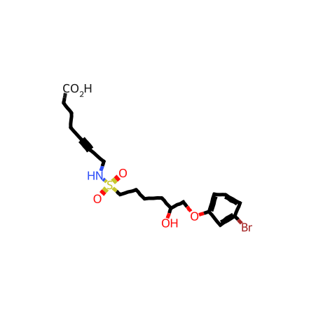 O=C(O)CCCC#CCNS(=O)(=O)CCCCC(O)COc1cccc(Br)c1